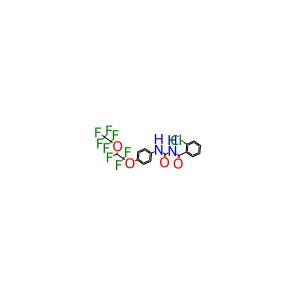 O=C(NC(=O)c1ccccc1Cl)Nc1ccc(OC(F)(F)C(F)OC(F)(F)C(F)(F)F)cc1